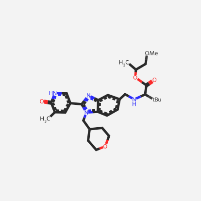 COCC(C)OC(=O)C(NCc1ccc2c(c1)nc(-c1c[nH]c(=O)c(C)c1)n2CC1CCOCC1)C(C)(C)C